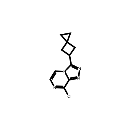 Clc1nccn2c(C3CC4(CC4)C3)nnc12